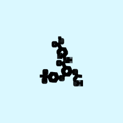 COC(=O)c1ccc(NC(=O)c2cc(Oc3ccc(S(C)(=O)=O)cc3)cc(OC(C)CO)c2)nc1